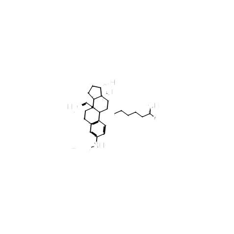 C=CC12CCc3cc(NS(=O)(=O)O)ccc3C1[C@@H](CCCCCC(O)C(F)(F)F)C[C@@]1(C)C2CC[C@@H]1O